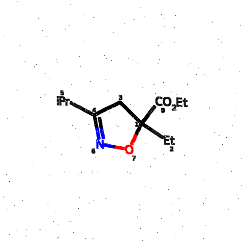 CCOC(=O)C1(CC)CC(C(C)C)=NO1